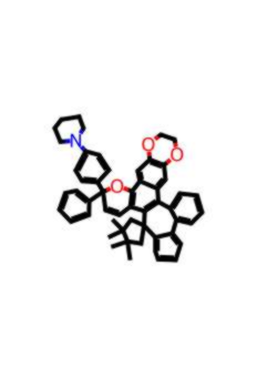 CC1(C)CC2(CC1(C)C)c1ccccc1-c1ccccc1-c1c2c2c(c3cc4c(cc13)OCCO4)OC(c1ccccc1)(c1ccc(N3CCCCC3)cc1)C=C2